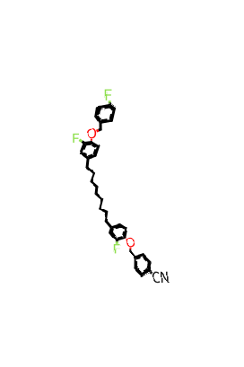 N#Cc1ccc(COc2ccc(CCCCCCCCCc3ccc(OCc4ccc(F)cc4)c(F)c3)cc2F)cc1